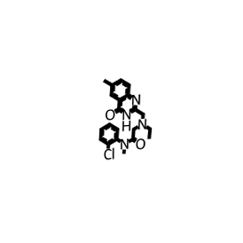 CCN(CC(=O)N(C)c1ccccc1Cl)Cc1nc2ccc(C)cc2c(=O)[nH]1